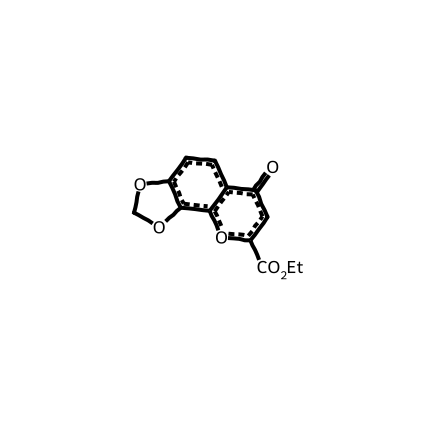 CCOC(=O)c1cc(=O)c2ccc3c(c2o1)OCO3